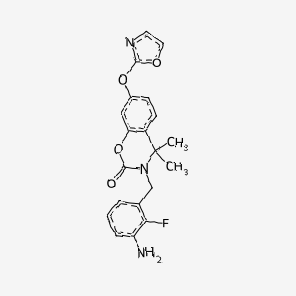 CC1(C)c2ccc(Oc3ncco3)cc2OC(=O)N1Cc1cccc(N)c1F